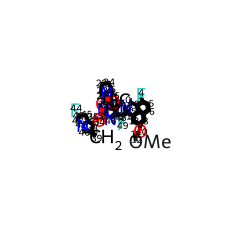 C#Cc1c(F)ccc2cc(OCOC)cc(-c3ncc4c(N5CC6CCC(C5)N6C(=O)OC(C)(C)C)nc(OC[C@]56CC(=C)CN5C[C@@H](F)C6)nc4c3F)c12